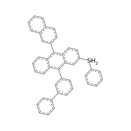 c1ccc([SiH2]c2ccc3c(-c4ccc5ccccc5c4)c4ccccc4c(-c4cccc(-c5ccccc5)c4)c3c2)cc1